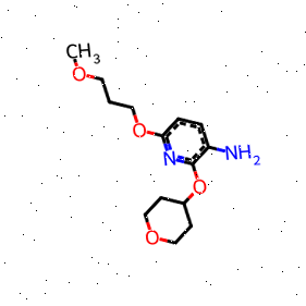 COCCCOc1ccc(N)c(OC2CCOCC2)n1